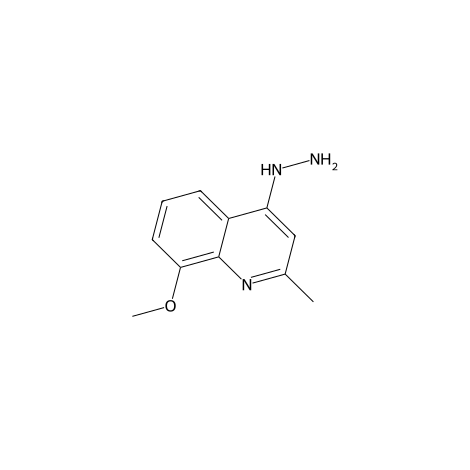 COc1cccc2c(NN)cc(C)nc12